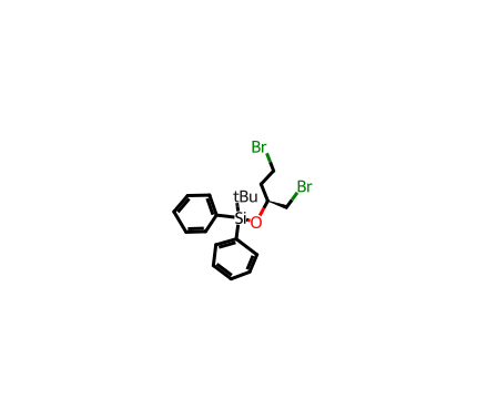 CC(C)(C)[Si](O[C@H](CBr)CCBr)(c1ccccc1)c1ccccc1